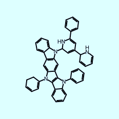 C1=CCCC(n2c3cc4c5ccccc5n(C5C=C(C6C=CC=CN6)C=C(c6ccccc6)N5)c4cc3c3c2c2ccccc2n3-c2ccccc2)=C1